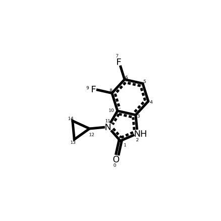 O=c1[nH]c2ccc(F)c(F)c2n1C1CC1